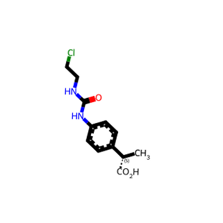 C[C@H](C(=O)O)c1ccc(NC(=O)NCCCl)cc1